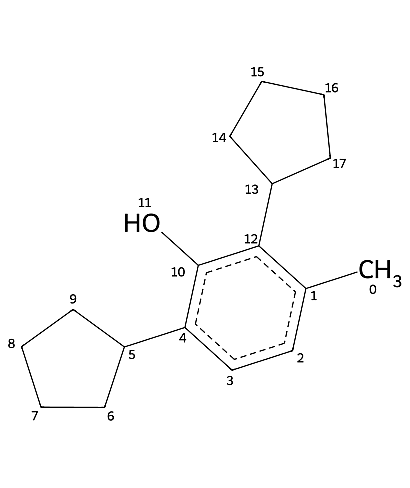 Cc1ccc(C2CCCC2)c(O)c1C1CCCC1